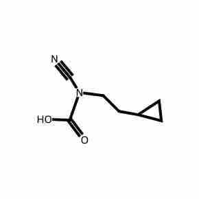 N#CN(CCC1CC1)C(=O)O